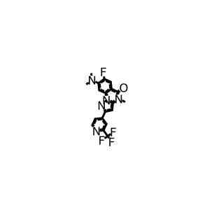 CN(C)c1cc2c(cc1F)c(=O)n(C)c1cc(-c3ccnc(C(F)(F)F)c3)nn21